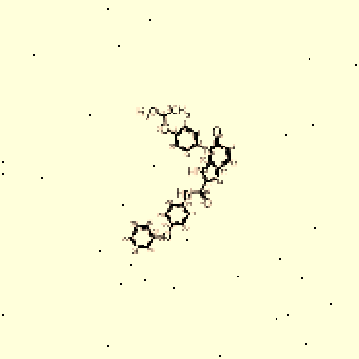 CC(C)Oc1ccc(-n2c(=O)ccc3cc(C(=O)Nc4ccc(Oc5ccccc5)cc4)[nH]c32)cc1